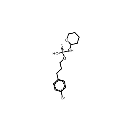 OP(=S)(NC1CCCCO1)OCCCc1ccc(Br)cc1